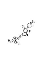 CCN1CCN(c2c(Cl)cc3c(ncn3COCC[Si](C)(C)C)c2F)CC1